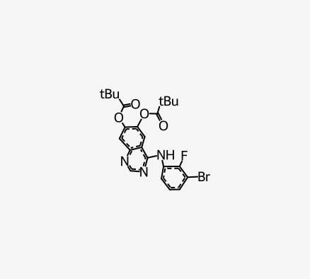 CC(C)(C)C(=O)Oc1cc2ncnc(Nc3cccc(Br)c3F)c2cc1OC(=O)C(C)(C)C